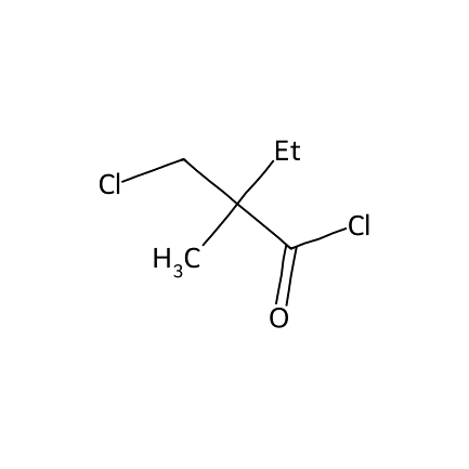 CCC(C)(CCl)C(=O)Cl